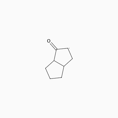 O=C1[CH]CC2CCCC12